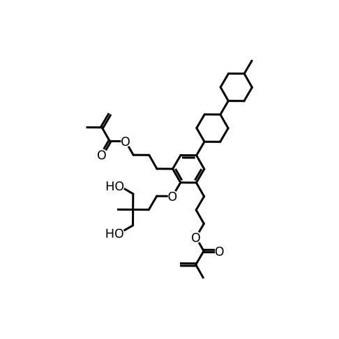 C=C(C)C(=O)OCCCc1cc(C2CCC(C3CCC(C)CC3)CC2)cc(CCCOC(=O)C(=C)C)c1OCCC(C)(CO)CO